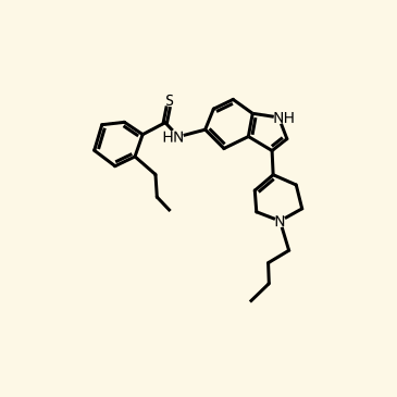 CCCCN1CC=C(c2c[nH]c3ccc(NC(=S)c4ccccc4CCC)cc23)CC1